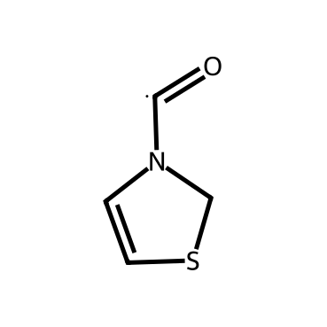 O=[C]N1C=CSC1